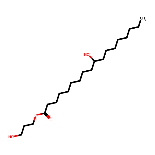 CCCCCCCCC(O)CCCCCCCCC(=O)OCCCO